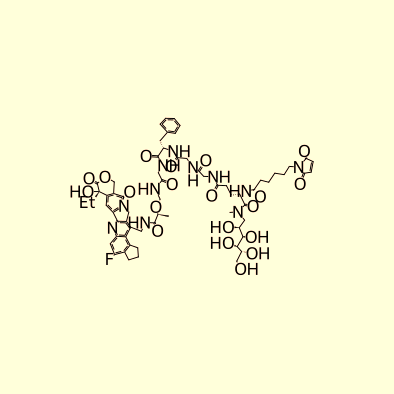 CC[C@@]1(O)C(=O)OCc2c1cc1n(c2=O)Cc2c-1nc1cc(F)c3c(c1c2CNC(=O)[C@H](C)OCNC(=O)CNC(=O)[C@H](Cc1ccccc1)NC(=O)CNC(=O)CNC(=O)CC[C@H](NC(=O)CCCCCN1C(=O)C=CC1=O)C(=O)N(C)C[C@H](O)[C@@H](O)[C@H](O)[C@H](O)CO)CCC3